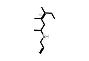 C=CCBC(C)C/C(C)=C(/C)CC